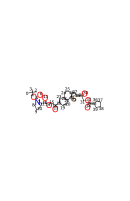 CC(C)(C)OC(=O)N1CCC[C@H]1C(=O)OCC(=O)c1ccc2c(c1)CCc1cc(C(=O)COC(=O)C3CCCC3)sc1-2